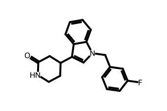 O=C1CC(c2cn(Cc3cccc(F)c3)c3ccccc23)CCN1